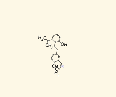 C=C(C)c1cccc(O)c1CCc1ccc(C)c(/C=C\C)c1